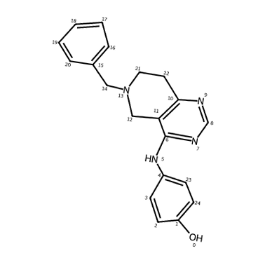 Oc1ccc(Nc2ncnc3c2CN(Cc2ccccc2)CC3)cc1